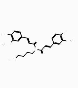 COc1cc(C=CC(=O)N(CCCCN)C(=O)C=Cc2ccc(O)c(OC)c2)ccc1O